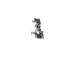 O=C1COc2ccc(N3C[C@H](CNCCc4c(F)ccc5c4N(CCO)C(=O)CN5)OC3=O)nc2N1